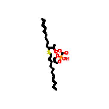 CCCCCCCCCCCSC(CCCCCCCCC)C(C)OOC(=O)P(=O)(O)OCCC